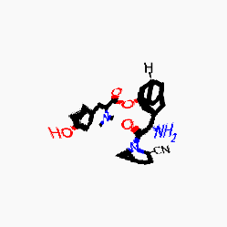 CN(C)C(Cc1ccc(O)cc1)C(=O)OC12CC3C[C@H](C1)CC([C@H](N)C(=O)N1C4CC4C[C@H]1C#N)(C3)C2